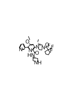 CCOc1cc(N2CCN(C(=O)C3(C(F)(F)F)CCCC3)C[C@H]2CC)c(C(=O)N[C@H]2CCNC2)nc1-c1cccnc1